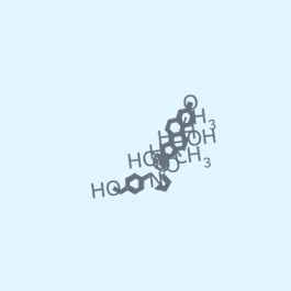 C[C@]12C=CC(=O)C=C1CC[C@@H]1[C@@H]2[C@@H](O)C[C@@]2(C)[C@H]1C[C@H]1O[C@@H](c3cccn3Cc3ccc(CO)cc3)O[C@]12C(=O)CO